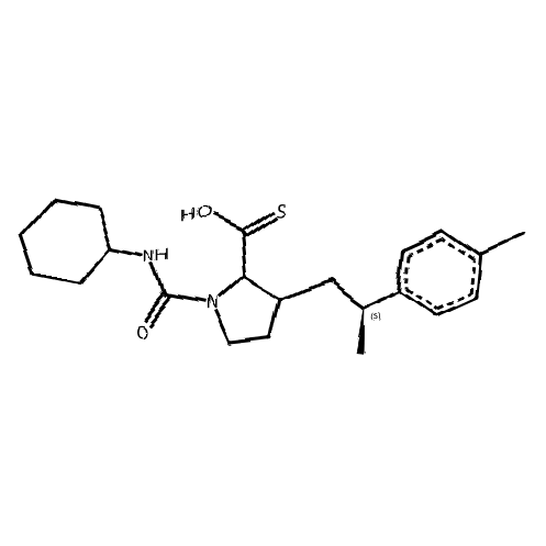 Cc1ccc([C@@H](C)CC2CCN(C(=O)NC3CCCCC3)C2C(O)=S)cc1